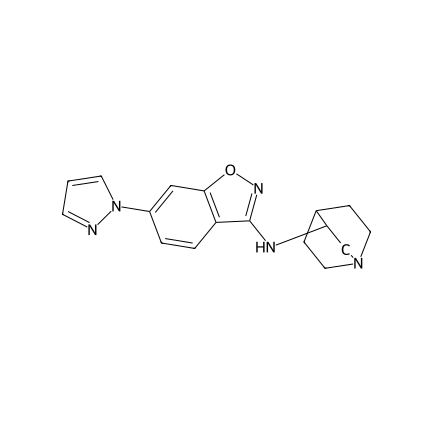 c1cnn(-c2ccc3c(NC4CN5CCC4CC5)noc3c2)c1